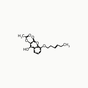 CC/C=C/CCOc1cccc2c(O)c(OC(C)=O)c(=O)oc12